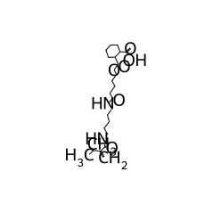 C=C(C(=O)NCCCCCNC(=O)CCCCOC(=O)C1CCCCC1C(=O)O)C(C)C